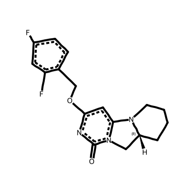 O=c1nc(OCc2ccc(F)cc2F)cc2n1C[C@H]1CCCCN21